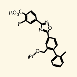 Cc1ccccc1-c1ccc(-c2nc(-c3ccc(C(=O)O)c(F)c3)no2)cc1COC(C)C